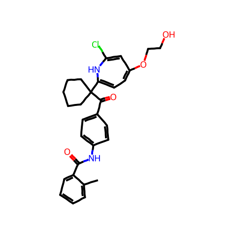 Cc1ccccc1C(=O)Nc1ccc(C(=O)C2(C3=CC=C(OCCO)C=C(Cl)N3)CCCCC2)cc1